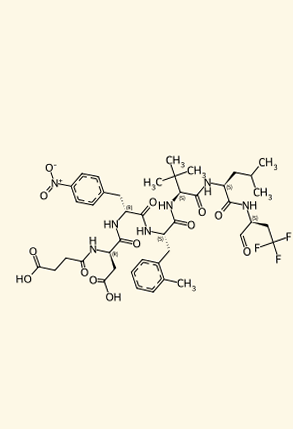 Cc1ccccc1C[C@H](NC(=O)[C@@H](Cc1ccc([N+](=O)[O-])cc1)NC(=O)[C@@H](CC(=O)O)NC(=O)CCC(=O)O)C(=O)N[C@H](C(=O)N[C@@H](CC(C)C)C(=O)N[C@H](C=O)CC(F)(F)F)C(C)(C)C